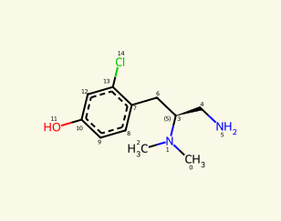 CN(C)[C@H](CN)Cc1ccc(O)cc1Cl